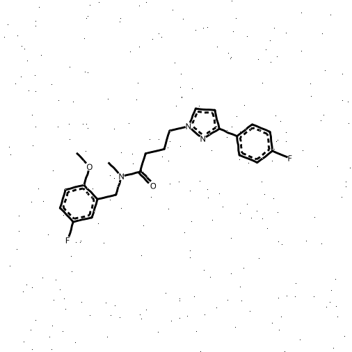 COc1ccc(F)cc1CN(C)C(=O)CCCn1ccc(-c2ccc(F)cc2)n1